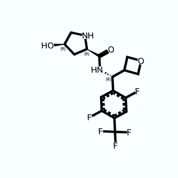 O=C(N[C@@H](c1cc(F)c(C(F)(F)F)cc1F)C1COC1)[C@H]1C[C@@H](O)CN1